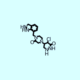 O=C1NNCC(N2CCN(Cc3cccc4c3NNC4)C(=O)C2)C1Cl